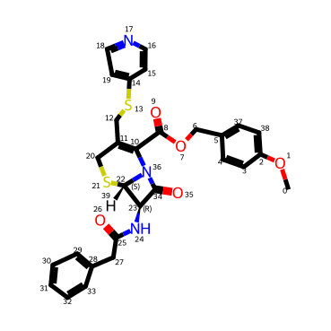 COc1ccc(COC(=O)C2=C(CSc3ccncc3)CS[C@H]3[C@H](NC(=O)Cc4ccccc4)C(=O)N23)cc1